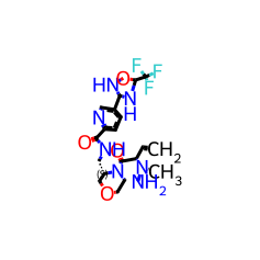 C=CC(C(=O)N1CCOC[C@@H]1CNC(=O)c1ccc(C2NOC(C(F)(F)F)N2)cn1)N(C)N